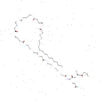 NC(=O)CC[C@H](NC(=O)COCCOCCNC(=O)COCCOCCNC(=O)CC[C@H](NC(=O)CC[C@H](NC(=O)CC[C@H](NC(=O)CC[C@H](NC(=O)CCCCCCCCCCCCCCCCC(=O)O)C(=O)O)C(=O)O)C(=O)O)C(=O)O)C(=O)C[C@@H](CS)C(=O)C[C@@H](CS)C(=O)O